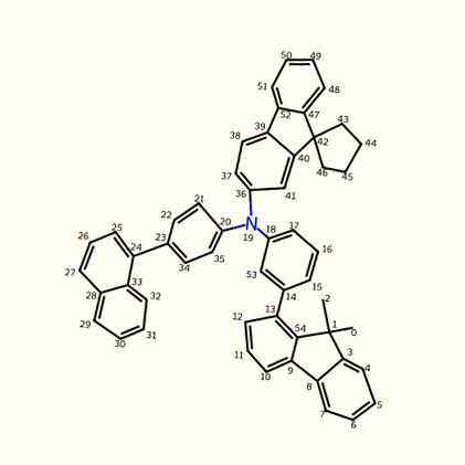 CC1(C)c2ccccc2-c2cccc(-c3cccc(N(c4ccc(-c5cccc6ccccc56)cc4)c4ccc5c(c4)C4(CCCC4)c4ccccc4-5)c3)c21